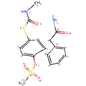 CNC(=O)Sc1ccc(OS(C)(=O)=O)cc1.NC(=O)Cc1ccccc1